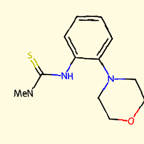 CNC(=S)Nc1ccccc1N1CCOCC1